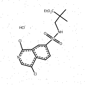 CCOC(=O)C(C)(C)CNS(=O)(=O)c1ccc2c(Cl)cnc(Cl)c2c1.Cl